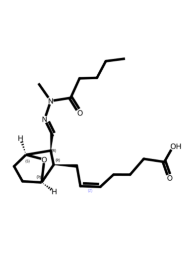 CCCCC(=O)N(C)N=C[C@H]1[C@@H](C/C=C\CCCC(=O)O)[C@H]2CC[C@@H]1O2